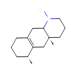 CCCN1CCC[C@@H]2CC3=C(CCC[C@@H]3OC(C)=O)C[C@H]21